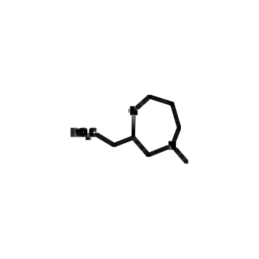 CCOC(=O)CC1CN(C)CCC[N]1